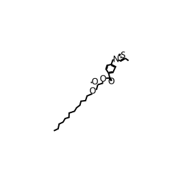 CCCCCCCCCCCCCCOCC(COC(=O)c1ccc(C[n+]2csc(C)c2)cc1)OC